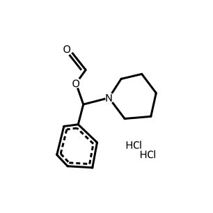 Cl.Cl.O=COC(c1ccccc1)N1CCCCC1